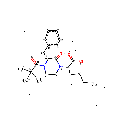 CCCC[C@@H](C(=O)O)N1CCN(C(=O)C(C)(C)C)[C@H](Cc2ccccc2)C1=O